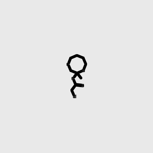 CC1(OC(=O)CCl)COCCCCO1